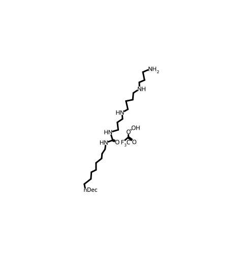 CCCCCCCCCCCCCCCCCCNC(=O)NCCCNCCCCNCCCN.O=C(OO)C(F)(F)F